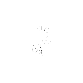 C[C@@H]1CN(c2ncccc2[N+](=O)[O-])CCN1C(=O)/C=C/c1cccc(Cl)c1